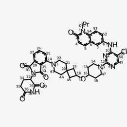 CC(C)n1c(=O)ccc2cc(Nc3nc(N4CCC(OC5CC6(CCN(c7cccc8c7C(=O)N(C7CCC(=O)NC7=O)C8=O)CC6)C5)CC4)ncc3Cl)ccc21